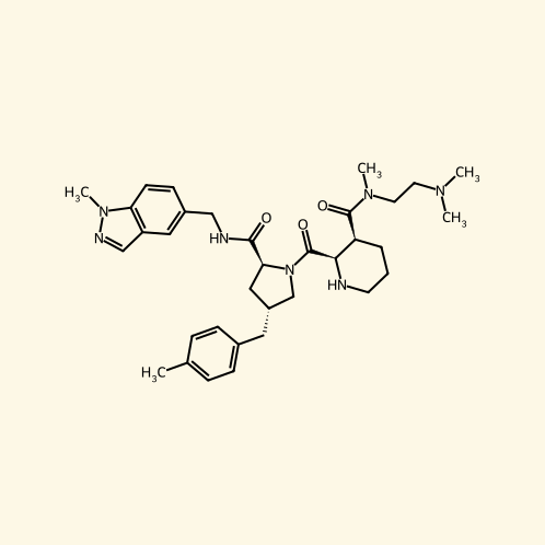 Cc1ccc(C[C@@H]2C[C@@H](C(=O)NCc3ccc4c(cnn4C)c3)N(C(=O)[C@@H]3NCCC[C@@H]3C(=O)N(C)CCN(C)C)C2)cc1